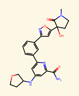 CN1CCC(O)(c2cc(-c3cccc(-c4cc(NC5CCOC5)cc(C(N)=O)n4)c3)no2)C1=O